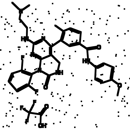 COc1ccc(NC(=O)c2ccc(C)c(-c3nc(NCCN(C)C)nc4c3CNC(=O)N4c3c(F)cccc3F)c2)cc1.O=C(O)C(F)(F)F